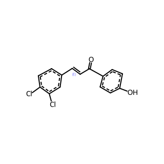 O=C(/C=C/c1ccc(Cl)c(Cl)c1)c1ccc(O)cc1